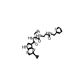 CC(C)C[C@@H](NC(=O)c1c[nH]c2ncc(C3CC3)nc12)C(=O)NCCC(=O)NCc1ccccn1